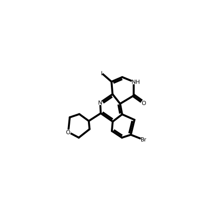 O=c1[nH]cc(I)c2nc(C3CCOCC3)c3ccc(Br)cc3c12